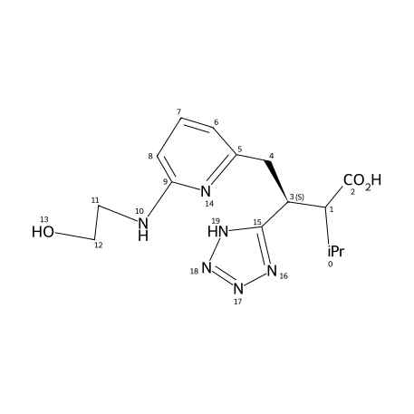 CC(C)C(C(=O)O)[C@H](Cc1cccc(NCCO)n1)c1nnn[nH]1